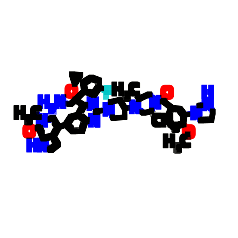 COc1ccc(C(=O)N2C[C@H](C)N(C3CCN(c4nc(C(CN)(OC5CC5)c5cccc(F)c5)c5cc(-c6cn(C)c(=O)c7[nH]ccc67)ccc5n4)CC3)C[C@H]2C)cc1N1C=CCNC1